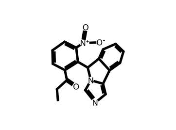 CCC(=O)c1cccc([N+](=O)[O-])c1C1c2ccccc2-c2cncn21